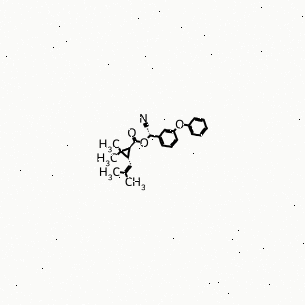 CC(C)=C[C@H]1[C@H](C(=O)O[C@H](C#N)c2cccc(Oc3ccccc3)c2)C1(C)C